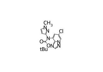 Cn1ccc(N(C(=O)OC(C)(C)C)c2cc(Cl)cn3ncnc23)n1